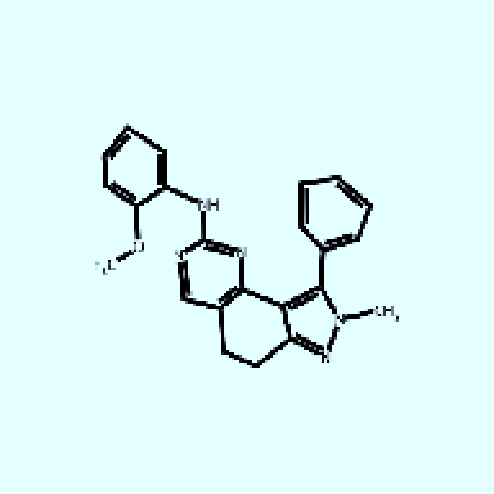 Cn1nc2c(c1-c1ccccc1)-c1nc(Nc3ccccc3OC(F)(F)F)ncc1CC2